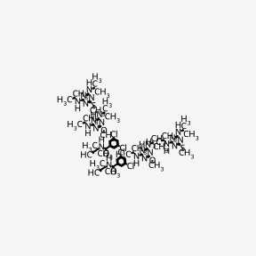 C#CC(C)(C)NC(=O)c1cc(Cl)cc(Cl)c1.C#CC(C)(C)NC(=O)c1cc(Cl)cc(Cl)c1.COc1nc(NC(C)C)nc(NC(C)C)n1.COc1nc(NC(C)C)nc(NC(C)C)n1.CSc1nc(NC(C)C)nc(NC(C)C)n1.CSc1nc(NC(C)C)nc(NC(C)C)n1